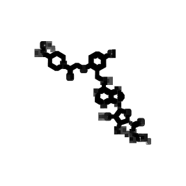 CNC(=O)[C@H]1O[C@@H](n2cnc3c(NCc4cc(Cl)ccc4OCC(=O)N4CCC(NC)CC4)ncnc32)[C@H](O)[C@@H]1N